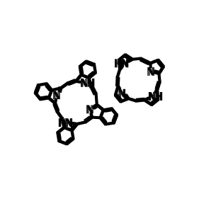 C1=Cc2cc3ccc(cc4nc(cc5ccc(cc1n2)[nH]5)C=C4)[nH]3.c1ccc2c(c1)-c1cc3[nH]c(cc4nc(cc5[nH]c(cc-2n1)c1ccccc51)-c1ccccc1-4)c1ccccc31